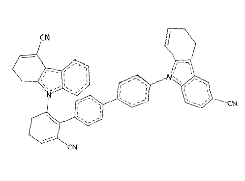 N#CC1=CCCC(n2c3c(c4ccccc42)C(C#N)=CCC3)=C1c1ccc(-c2ccc(-n3c4c(c5cc(C#N)ccc53)CCC=C4)cc2)cc1